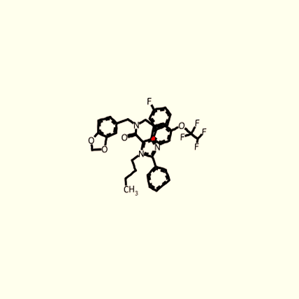 CCCCn1c(-c2ccccc2)nc(-c2cccc(F)c2)c1C(=O)N(Cc1cccc(OC(F)(F)C(F)F)c1)Cc1ccc2c(c1)OCO2